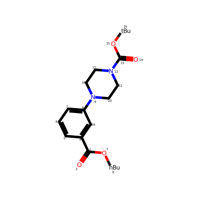 CCCCOC(=O)c1cccc(N2CCN(C(=O)OC(C)(C)C)CC2)c1